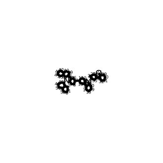 c1ccc2c(-n3c4ccc(-c5ccc6c(c5)c5ccccc5n6-c5ccc6oc7ccccc7c6c5)cc4c4ccc5ccccc5c43)cccc2c1